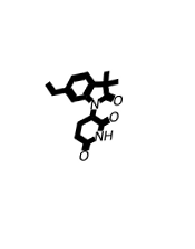 CCc1ccc2c(c1)N(C1CCC(=O)NC1=O)C(=O)C2(C)C